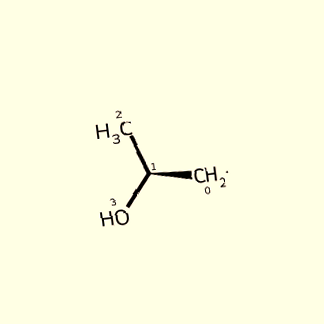 [CH2][C@H](C)O